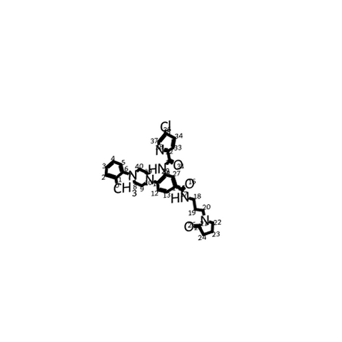 Cc1ccccc1N1CCN(c2ccc(C(=O)NCCCN3CCCC3=O)cc2NC(=O)c2ccc(Cl)cn2)CC1